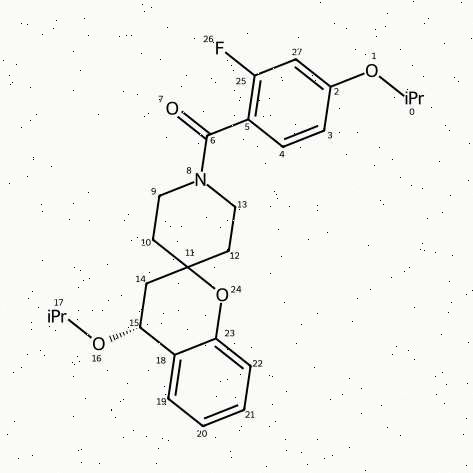 CC(C)Oc1ccc(C(=O)N2CCC3(CC2)C[C@@H](OC(C)C)c2ccccc2O3)c(F)c1